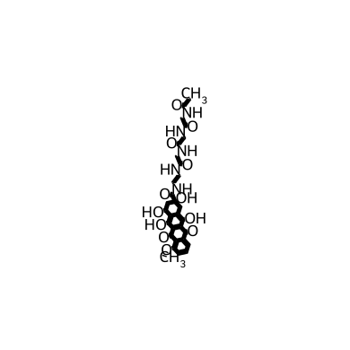 CCC(=O)NCC(=O)NCC(=O)NCC(=O)NCCNC(=O)C1(O)Cc2c(O)c3c(c(O)c2C(O)C1)C(=O)c1c(OC)cccc1C3=O